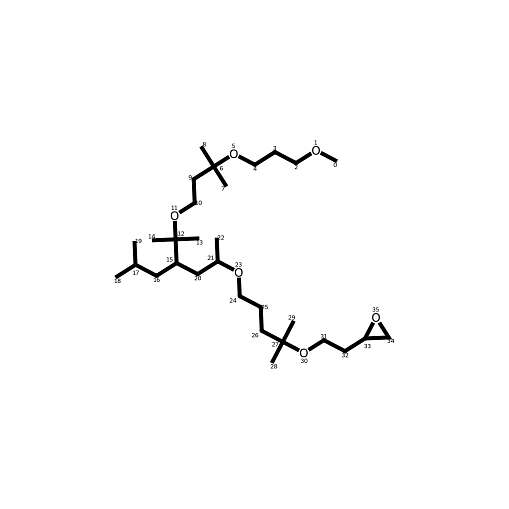 COCCCOC(C)(C)CCOC(C)(C)C(CC(C)C)CC(C)OCCCC(C)(C)OCCC1CO1